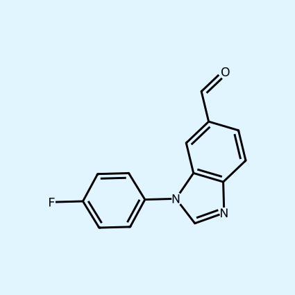 O=Cc1ccc2ncn(-c3ccc(F)cc3)c2c1